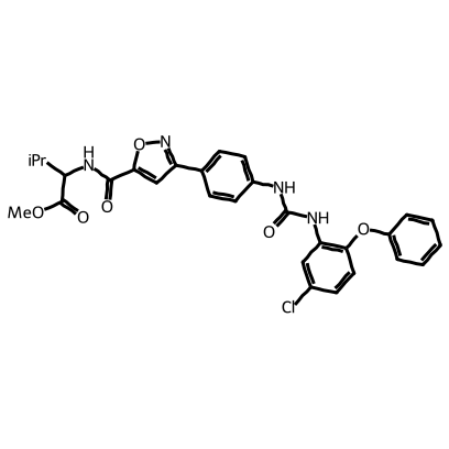 COC(=O)C(NC(=O)c1cc(-c2ccc(NC(=O)Nc3cc(Cl)ccc3Oc3ccccc3)cc2)no1)C(C)C